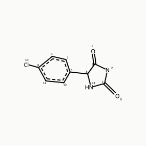 O=C1[N]C(=O)C(c2ccc(Cl)cc2)N1